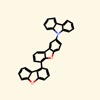 c1ccc2c(c1)oc1cccc(-c3cccc4c3oc3ccc(-n5c6ccccc6c6ccccc65)cc34)c12